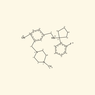 CN1CCN(Cc2cc(CNC3(c4ccccc4F)CCCC3)ccc2N=O)CC1